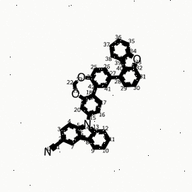 N#Cc1ccc2c(c1)c1ccccc1n2-c1ccc2c(c1)OCOc1ccc(-c3cccc4oc5ccccc5c34)cc1-2